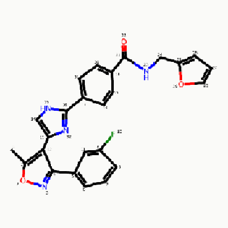 Cc1onc(-c2cccc(F)c2)c1-c1c[nH]c(-c2ccc(C(=O)NCc3ccco3)cc2)n1